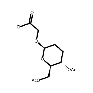 CC(=O)OC[C@H]1O[C@@H](OCC(=O)Cl)CC[C@@H]1OC(C)=O